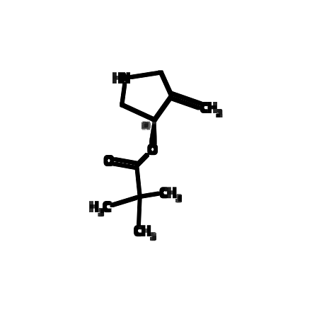 C=C1CNC[C@@H]1OC(=O)C(C)(C)C